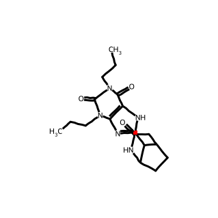 CCCn1c(=O)c2[nH]c(C3C4CCC3NC(=O)C4)nc2n(CCC)c1=O